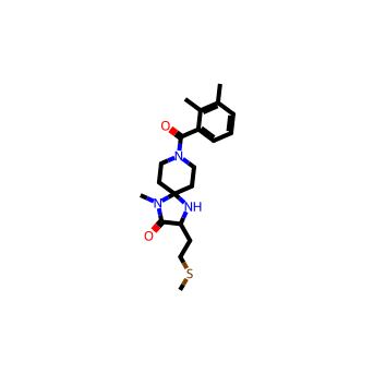 CSCCC1NC2(CCN(C(=O)c3cccc(C)c3C)CC2)N(C)C1=O